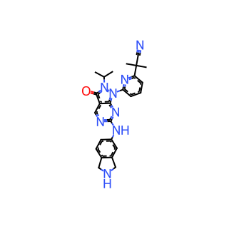 CC(C)n1c(=O)c2cnc(Nc3ccc4c(c3)CNC4)nc2n1-c1cccc(C(C)(C)C#N)n1